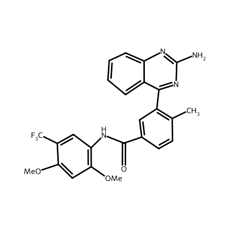 COc1cc(OC)c(C(F)(F)F)cc1NC(=O)c1ccc(C)c(-c2nc(N)nc3ccccc23)c1